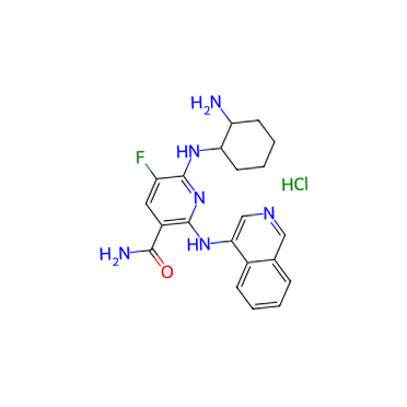 Cl.NC(=O)c1cc(F)c(NC2CCCCC2N)nc1Nc1cncc2ccccc12